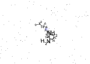 CC(C)CC(C)/C=C/CCC1(C)C(N)=CC=CC1N